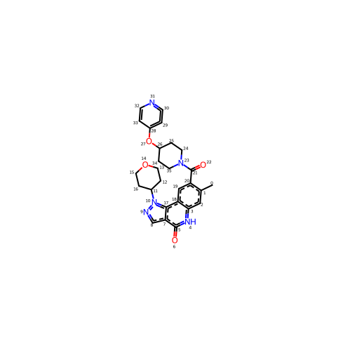 Cc1cc2[nH]c(=O)c3cnn(C4CCOCC4)c3c2cc1C(=O)N1CCC(OC2=C=C=NC=C2)CC1